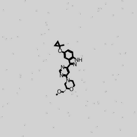 COC[C@@H]1CN(c2cc(-c3n[nH]c4ccc(OC5(C)CC5)cc34)ncn2)CCO1